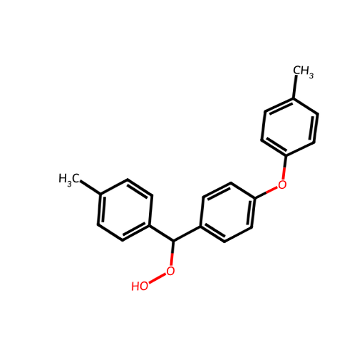 Cc1ccc(Oc2ccc(C(OO)c3ccc(C)cc3)cc2)cc1